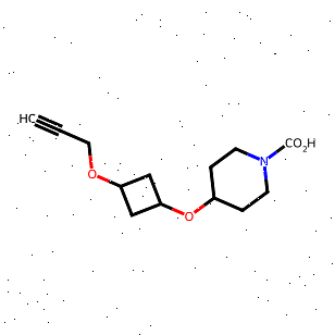 C#CCOC1CC(OC2CCN(C(=O)O)CC2)C1